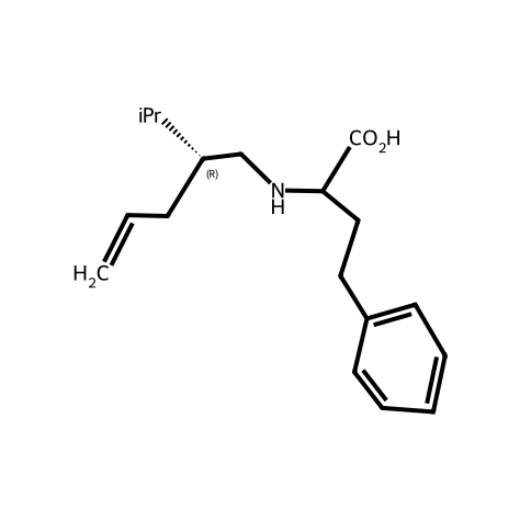 C=CC[C@@H](CNC(CCc1ccccc1)C(=O)O)C(C)C